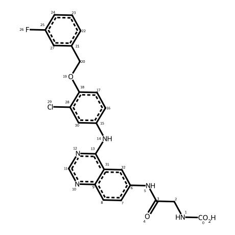 O=C(O)NCC(=O)Nc1ccc2ncnc(Nc3ccc(OCc4cccc(F)c4)c(Cl)c3)c2c1